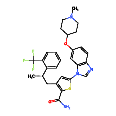 C[C@@H](Cc1cc(-n2cnc3ccc(OC4CCN(C)CC4)cc32)sc1C(N)=O)c1ccccc1C(F)(F)F